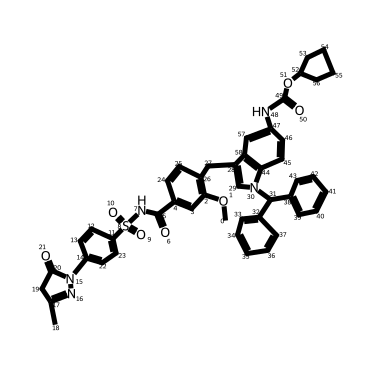 COc1cc(C(=O)NS(=O)(=O)c2ccc(N3N=C(C)CC3=O)cc2)ccc1Cc1cn(C(c2ccccc2)c2ccccc2)c2ccc(NC(=O)OC3CCCC3)cc12